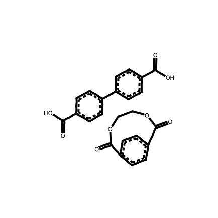 O=C(O)c1ccc(-c2ccc(C(=O)O)cc2)cc1.O=C1OCCOC(=O)c2ccc1cc2